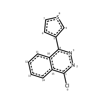 Clc1nnc(-c2ccsc2)c2ccccc12